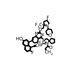 C#Cc1c(F)ccc2cc(O)cc(C3=Cc4nc(OC[C@]5(C(F)(F)F)C[C@@H](F)CN5C5CCOCC5)nc(NCC5(N(C)C(=O)C=C)CCCC5)c4CC3)c12